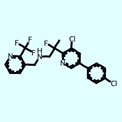 CC(F)(CNCc1cccnc1C(F)(F)F)c1ncc(-c2ccc(Cl)cc2)cc1Cl